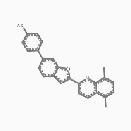 CC(=O)c1ccc(-c2ccc3cc(-c4ccc5c(C)ccc(C)c5n4)oc3c2)cc1